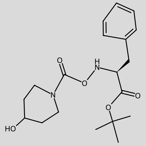 CC(C)(C)OC(=O)[C@H](Cc1ccccc1)NOC(=O)N1CCC(O)CC1